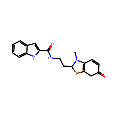 CN1C2=C(CC(=O)C=C2)SC1CCNC(=O)c1cc2ccccc2[nH]1